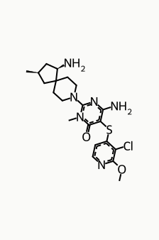 COc1nccc(Sc2c(N)nc(N3CCC4(CC3)C[C@@H](C)C[C@H]4N)n(C)c2=O)c1Cl